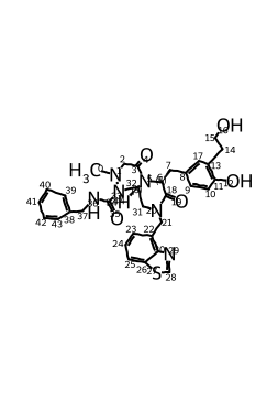 CN1CC(=O)N2[C@@H](Cc3ccc(O)c(CCO)c3)C(=O)N(Cc3cccc4scnc34)C[C@@H]2N1C(=O)NCc1ccccc1